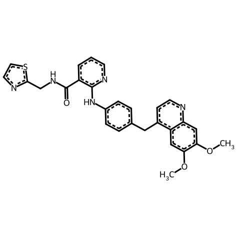 COc1cc2nccc(Cc3ccc(Nc4ncccc4C(=O)NCc4nccs4)cc3)c2cc1OC